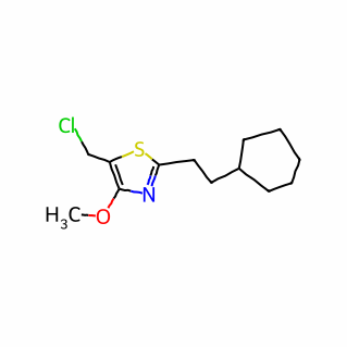 COc1nc(CCC2CCCCC2)sc1CCl